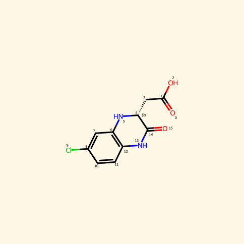 O=C(O)C[C@H]1Nc2cc(Cl)ccc2NC1=O